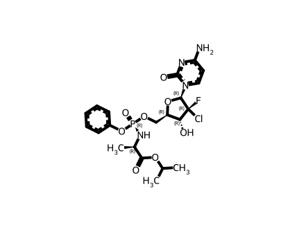 CC(C)OC(=O)[C@@H](C)N[P@@](=O)(OC[C@H]1O[C@@H](n2ccc(N)nc2=O)[C@](F)(Cl)[C@@H]1O)Oc1ccccc1